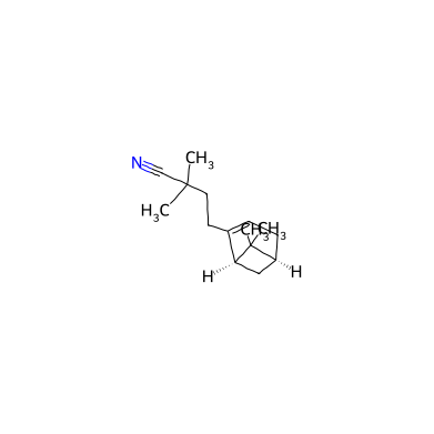 CC(C)(C#N)CCC1=CC[C@H]2C[C@@H]1C2(C)C